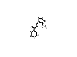 Cc1n[c]cn1CCC(=O)N1CCSCC1